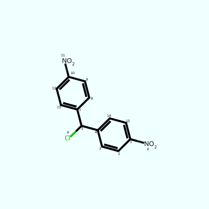 O=[N+]([O-])c1ccc(C(Cl)c2ccc([N+](=O)[O-])cc2)cc1